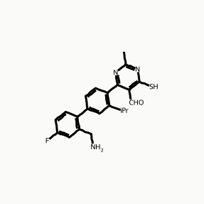 Cc1nc(S)c(C=O)c(-c2ccc(-c3ccc(F)cc3CN)cc2C(C)C)n1